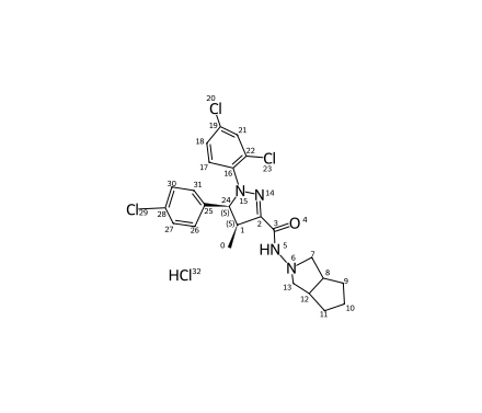 C[C@@H]1C(C(=O)NN2CC3CCCC3C2)=NN(c2ccc(Cl)cc2Cl)[C@@H]1c1ccc(Cl)cc1.Cl